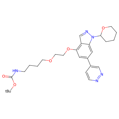 CC(C)(C)OC(=O)NCCCCOCCOc1cc(-c2ccnnc2)cc2c1cnn2C1CCCCO1